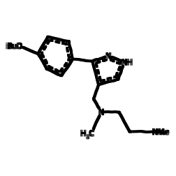 CNCCN(C)Cc1c[nH]nc1-c1ccc(OCC(C)C)cc1